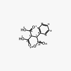 O=C(O)C(C(=O)O)C(c1ccccc1)[N+](=O)[O-]